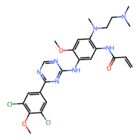 C=CC(=O)Nc1cc(Nc2ncnc(-c3cc(Cl)c(OC)c(Cl)c3)n2)c(OC)cc1N(C)CCN(C)C